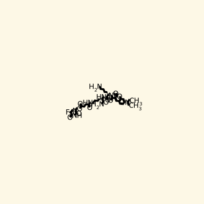 CCN(CC)c1ccc2cc(C(=O)N[C@@H](CCCCN)C(=O)N[C@@H](CCCCNC(=O)CCC(=O)OCn3cc(F)c(=O)[nH]c3=O)C(N)=O)c(=O)oc2c1